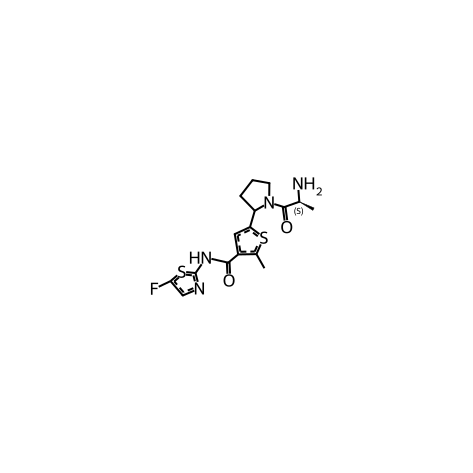 Cc1sc(C2CCCN2C(=O)[C@H](C)N)cc1C(=O)Nc1ncc(F)s1